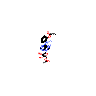 CCCC(=O)OC[C@H]1O[C@@H](n2cnc3c(N[C@H]4CCC[C@@H]4OC(=O)CCC)ncnc32)[C@H](O)[C@H]1O